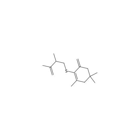 C=C1CC(C)(C)CC(C)=C1SCC(C)C(=C)C